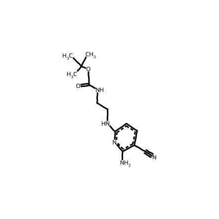 CC(C)(C)OC(=O)NCCNc1ccc(C#N)c(N)n1